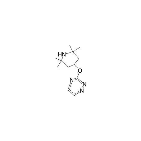 CC1(C)CC(Oc2nccnn2)CC(C)(C)N1